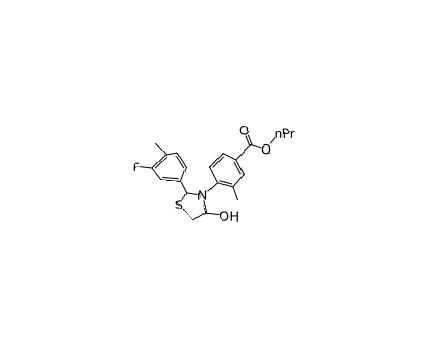 CCCOC(=O)c1ccc(N2C(O)CSC2c2ccc(C)c(F)c2)c(C)c1